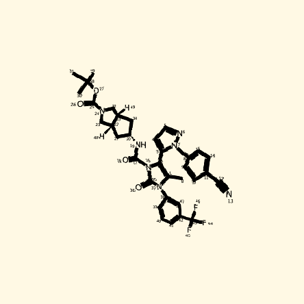 Cc1c(-c2ccnn2-c2ccc(C#N)cc2)n(C(=O)N[C@@H]2C[C@@H]3CN(C(=O)OC(C)(C)C)C[C@@H]3C2)c(=O)n1-c1cccc(C(F)(F)F)c1